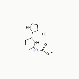 CCC(N/C(C)=C\C(=O)OC)C1CCCN1.Cl